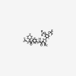 CC(=O)N1CC(c2ccc(OC(F)F)c(OC(F)F)c2)C[C@@H]1C(=O)NCc1cccc(C(=O)N(CC2CC2)C2CCCCC2)n1